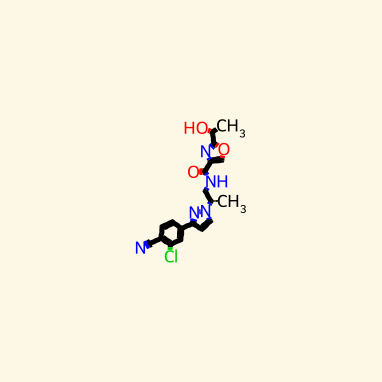 CC(O)c1nc(C(=O)NC[C@H](C)n2ccc(-c3ccc(C#N)c(Cl)c3)n2)co1